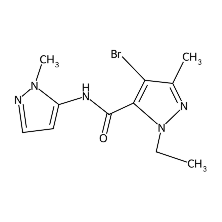 CCn1nc(C)c(Br)c1C(=O)Nc1ccnn1C